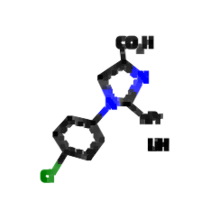 CCCc1nc(C(=O)O)cn1-c1ccc(Cl)cc1.[LiH]